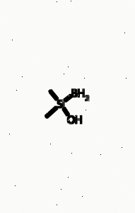 B[Si](C)(C)O